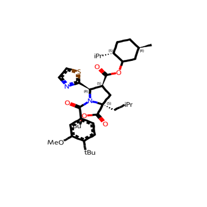 COc1cc(C(=O)N2[C@@H](c3nccs3)[C@@H](C(=O)OC3C[C@H](C)CC[C@H]3C(C)C)C[C@@]2(CC(C)C)C(=O)OC(C)(C)C)ccc1C(C)(C)C